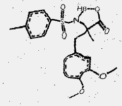 COc1ccc(CC2(C)C(=O)OBN2S(=O)(=O)c2ccc(C)cc2)cc1OC